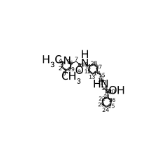 Cc1cc(C)nc(CC(=O)Nc2ccc(CCNC[C@H](O)c3ccccc3)cc2)c1